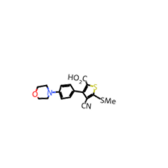 CSc1sc(C(=O)O)c(-c2ccc(N3CCOCC3)cc2)c1C#N